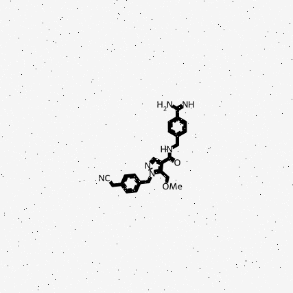 COCc1c(C(=O)NCc2ccc(C(=N)N)cc2)cnn1Cc1ccc(CC#N)cc1